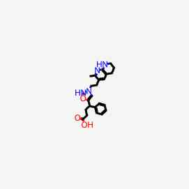 Cc1nc2c(cc1CCN1C=C(C(CCC(=O)O)c3ccccc3)ON1)CCCN2